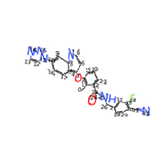 Cc1c(Oc2ccnc3cc(-n4ccnn4)ccc23)cccc1C(=O)NCc1ccc(C#N)c(F)c1